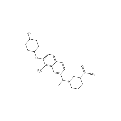 CC(c1ccc2ccc(OC3CCC(C(F)(F)F)CC3)c(C(F)(F)F)c2c1)N1CCC[C@@H](C(N)=O)C1